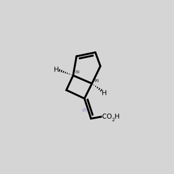 O=C(O)/C=C1/C[C@H]2C=CC[C@@H]12